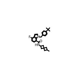 CC1CC2(C1)CC(NC(=O)c1ccc(F)c3ccn(Cc4ccc(C(C)(C)C)cc4)c13)C2